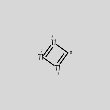 [CH]1=[Tl][Tl]=[Tl]1